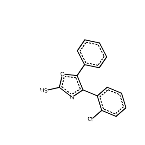 Sc1nc(-c2ccccc2Cl)c(-c2ccccc2)o1